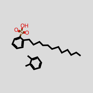 CCCCCCCCCCCCc1ccccc1S(=O)(=O)O.Cc1ccccc1C